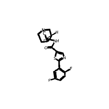 O=C(N[C@H]1CN2CCC1CC2)c1cnc(-c2cc(F)ccc2F)s1